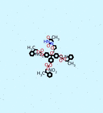 Cc1cn([C@H]2CC[C@@H](COC(c3ccc(OC(=O)OCC(C)c4ccccc4[N+](=O)[O-])cc3)(c3ccc(OC(=O)OCC(C)c4ccccc4[N+](=O)[O-])cc3)c3ccc(OC(=O)OCC(C)c4ccccc4[N+](=O)[O-])cc3)O2)c(=O)[nH]c1=O